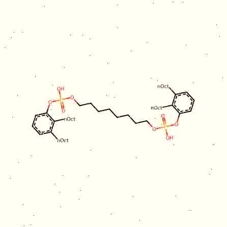 CCCCCCCCc1cccc(OP(=O)(O)OCCCCCCCCOP(=O)(O)Oc2cccc(CCCCCCCC)c2CCCCCCCC)c1CCCCCCCC